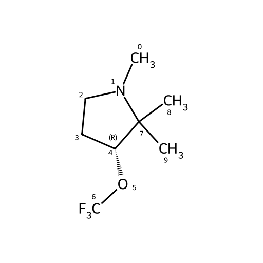 CN1CC[C@@H](OC(F)(F)F)C1(C)C